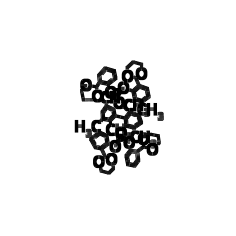 Cc1cc(C)c(OP(Oc2ccccc2C2OCCCO2)Oc2ccccc2C2OCCCO2)c(-c2c(C)c(C)cc(C)c2OP(Oc2ccccc2C2OCCCO2)Oc2ccccc2C2OCCCO2)c1C